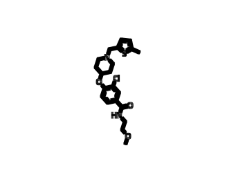 COCCNC(=O)c1ccc(OC2CCN(Cc3ccc(C)s3)CC2)c(Cl)c1